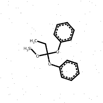 CCC(O[SiH3])(Oc1ccccc1)Oc1ccccc1